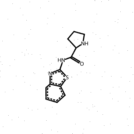 O=C(Nc1nc2ccccc2s1)C1CCCN1